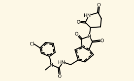 CN(C(=O)NCc1ccc2c(c1)C(=O)N(C1CCC(=O)NC1=O)C2=O)c1cccc(Cl)c1